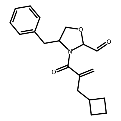 C=C(CC1CCC1)C(=O)N1C(Cc2ccccc2)COC1C=O